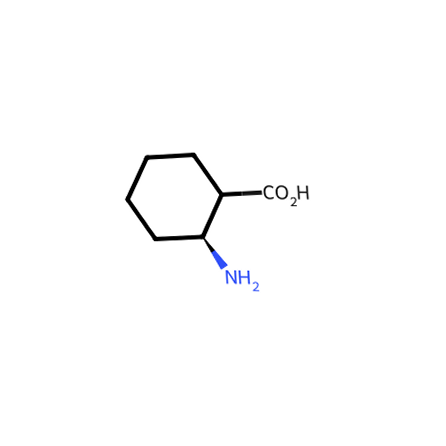 N[C@H]1CCCCC1C(=O)O